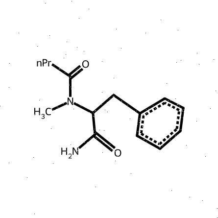 CCCC(=O)N(C)C(Cc1ccccc1)C(N)=O